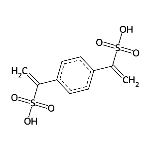 C=C(c1ccc(C(=C)S(=O)(=O)O)cc1)S(=O)(=O)O